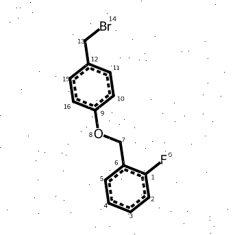 Fc1ccccc1COc1ccc(CBr)cc1